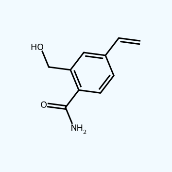 C=Cc1ccc(C(N)=O)c(CO)c1